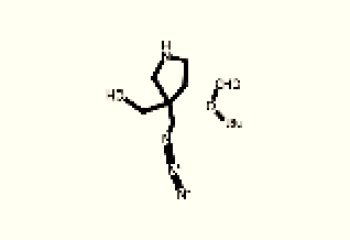 CC(C)(C)OC=O.[N-]=[N+]=NCC1(CO)CCNC1